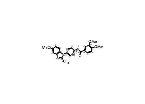 COc1ccc2c(c1)nc(C(F)(F)F)n2-c1cnc(NC(=O)c2ccc(OC)c(OC)c2)cn1